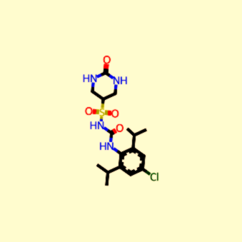 CC(C)c1cc(Cl)cc(C(C)C)c1NC(=O)NS(=O)(=O)C1CNC(=O)NC1